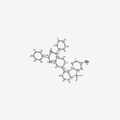 CC1(C)c2cc(Br)ccc2-c2c(-c3ccc4c(-c5ccccc5)nc(-c5ccccc5)nc4c3)cccc21